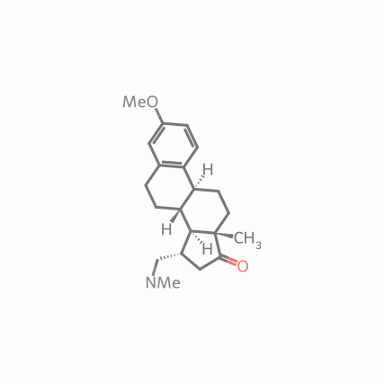 CNC[C@H]1CC(=O)[C@@]2(C)CC[C@@H]3c4ccc(OC)cc4CC[C@H]3[C@H]12